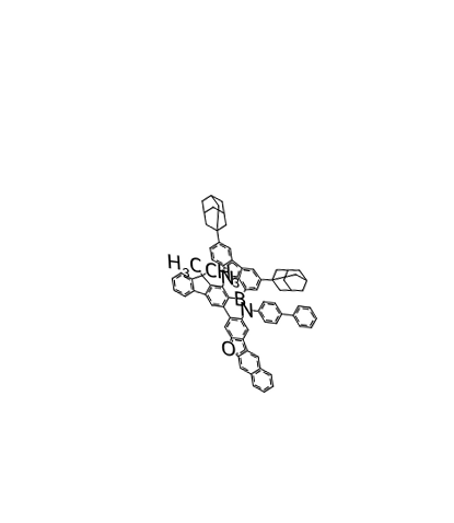 CC1(C)c2ccccc2-c2cc3c4c(c21)-n1c2ccc(C56CC7CC(CC(C7)C5)C6)cc2c2cc(C56CC7CC(CC(C7)C5)C6)cc(c21)B4N(c1ccc(-c2ccccc2)cc1)c1cc2c(cc1-3)oc1cc3ccccc3cc12